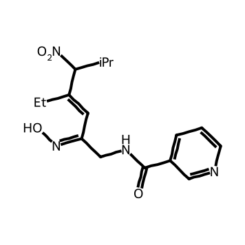 CC/C(=C\C(CNC(=O)c1cccnc1)=N/O)C(C(C)C)[N+](=O)[O-]